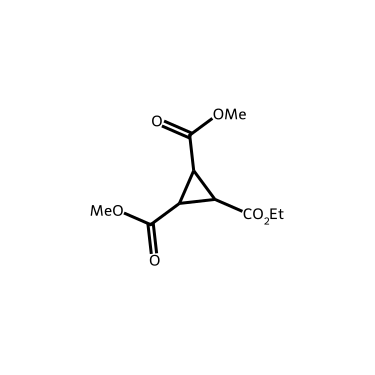 CCOC(=O)C1C(C(=O)OC)C1C(=O)OC